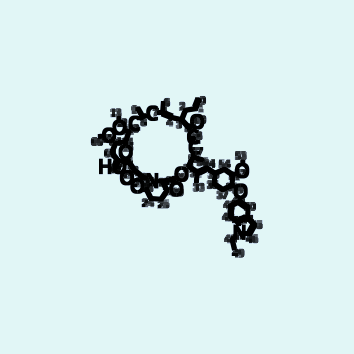 C=CCC1/C=C(\C)CC(C)CC(OC)C2OC(O)(C(=O)C(=O)N3CCCCC3C(=O)OC(C(C)=CC3CCC(Oc4ccc5c(ccn5CC)c4)C(OC)C3)C(C)CCC1=O)C(C)CC2OC